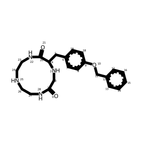 O=C1CNC(Cc2ccc(OCc3ccccc3)cc2)C(=O)NCCNCCN1